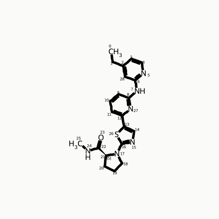 CCc1ccnc(Nc2cccc(-c3cnc(N4CCC[C@H]4C(=O)NC)s3)n2)c1